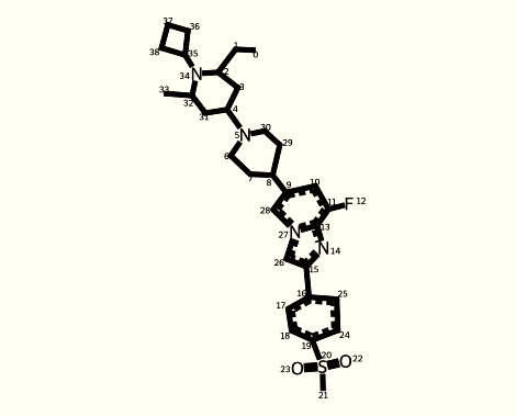 CCC1CC(N2CCC(c3cc(F)c4nc(-c5ccc(S(C)(=O)=O)cc5)cn4c3)CC2)CC(C)N1C1CCC1